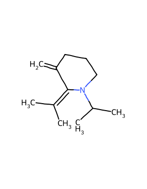 C=C1CCCN(C(C)C)C1=C(C)C